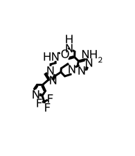 CNCCn1cc(-c2ccnc(C(F)(F)F)c2)nc1C1CCN(c2ncnc(N)c2C2=CONC2)CC1